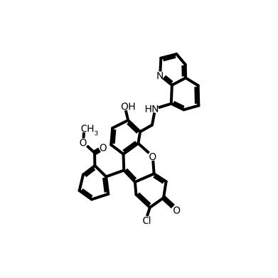 COC(=O)c1ccccc1-c1c2cc(Cl)c(=O)cc-2oc2c(CNc3cccc4cccnc34)c(O)ccc12